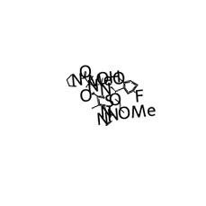 COCCO[C@@H](CN1c2sc(-n3nccn3)c(C)c2C(=O)N(C(C)(C)C(=O)N2CCCC2)C1O)c1cc(F)ccc1OC